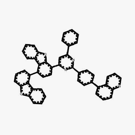 c1ccc(-c2cc(-c3ccc(-c4cccc5oc6ccccc6c45)c4c3oc3ccccc34)nc(-c3ccc(-c4cccc5ncccc45)cc3)n2)cc1